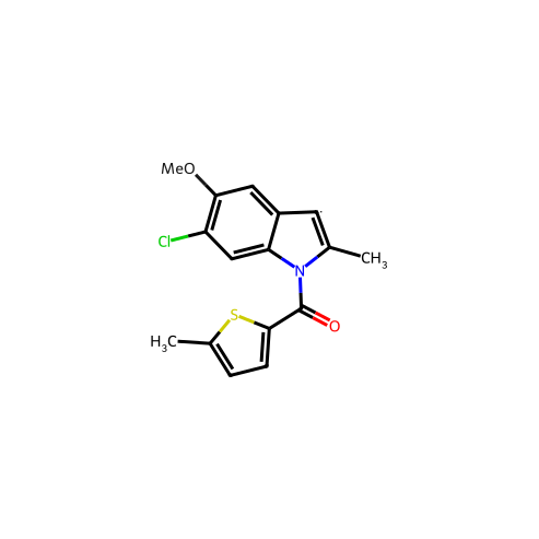 COc1cc2[c]c(C)n(C(=O)c3ccc(C)s3)c2cc1Cl